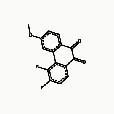 COc1ccc2c(c1)-c1c(ccc(F)c1F)C(=O)C2=O